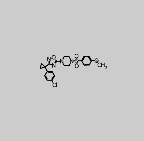 COc1ccc(S(=O)(=O)N2CCN(c3nc(C4(c5ccc(Cl)cc5)CC4)no3)CC2)cc1